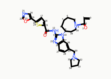 C=CC(=O)N1CCCC[C@@H](n2c(NC(=O)c3ccc(-c4cnco4)s3)nc3ccc(CN4CCCC4)cc32)CC1